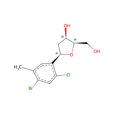 Cc1cc([C@H]2C[C@@H](O)[C@@H](CO)O2)c(Cl)cc1Br